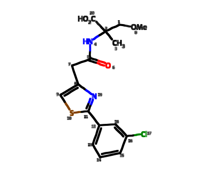 COCC(C)(NC(=O)Cc1csc(-c2cccc(Cl)c2)n1)C(=O)O